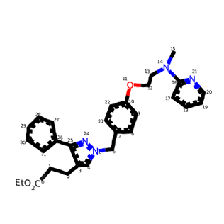 CCOC(=O)CCc1cn(Cc2ccc(OCCN(C)c3ccccn3)cc2)nc1-c1ccccc1